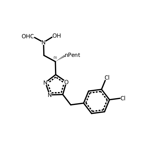 CCCCC[C@@H](CN(O)C=O)c1nnc(Cc2ccc(Cl)c(Cl)c2)o1